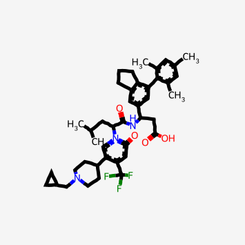 Cc1cc(C)c(-c2cc(C(CC(=O)O)NC(=O)C(CC(C)C)n3cc(C4CCN(CC5CC5)CC4)c(C(F)(F)F)cc3=O)cc3c2CCC3)c(C)c1